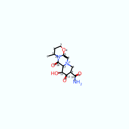 CC1CCOC2=CN3CC(C(N)=O)C(=O)C(O)C3C(=O)N21